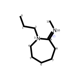 CCCN1CCCCC/C1=N/C